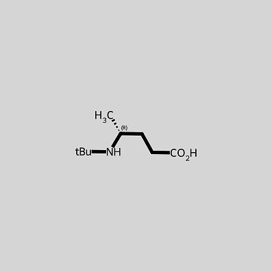 C[C@H](CCC(=O)O)NC(C)(C)C